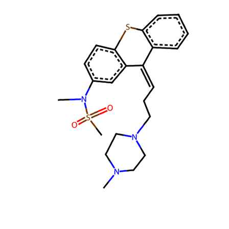 CN1CCN(CC/C=C2/c3ccccc3Sc3ccc(N(C)S(C)(=O)=O)cc32)CC1